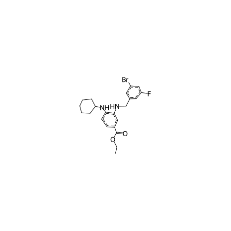 CCOC(=O)c1ccc(NC2CCCCC2)c(NCc2cc(F)cc(Br)c2)c1